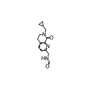 O=CNCc1ccc2c(n1)C(=O)N(CC1CC1)CC2